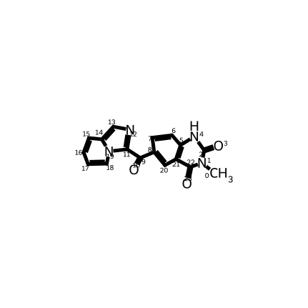 Cn1c(=O)[nH]c2ccc(C(=O)c3ncc4ccccn34)cc2c1=O